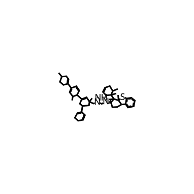 CC1CC=C(C2=CC(C)C(C3=CC(C)(CN(N)CN4C5C=CCC(C)C5(C)C5(C)C4CCC4c6ccccc6SC45C)CC(C4=CCCC=C4)C3)C=C2)CC1